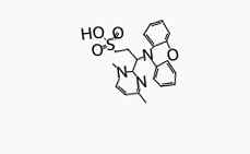 CC1=NC(C(CCS(=O)(=O)O)N2c3ccccc3Oc3ccccc32)N(C)C=C1